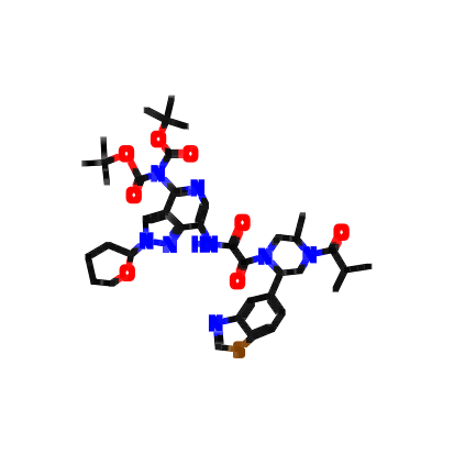 CC(C)C(=O)N1CC(c2ccc3scnc3c2)N(C(=O)C(=O)Nc2cnc(N(C(=O)OC(C)(C)C)C(=O)OC(C)(C)C)c3cn(C4CCCCO4)nc23)CC1C